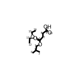 CC(C)COC(=O)CCC(=O)O.CCOCC